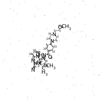 COCCN1CCN(c2ccc(C(=O)NN(CC(C)(C)C)c3nc(C#N)nc4ccnn34)cc2)CC1